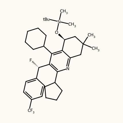 CC1(C)Cc2nc(C3CCCC3)c([C@@H](F)c3ccc(C(F)(F)F)cc3)c(C3CCCCC3)c2[C@@H](O[Si](C)(C)C(C)(C)C)C1